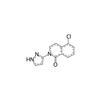 O=c1c2cccc(Cl)c2ccn1-c1cc[nH]n1